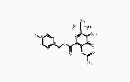 CC(=O)Oc1c(C(=O)NCc2ccc(F)cc2)nc(C(C)(C)N)n(C)c1=O